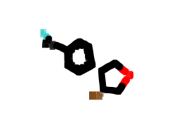 Br.C1CCOC1.[F][Mg][c]1ccccc1